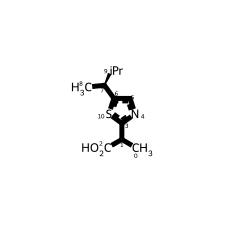 CC(C(=O)O)c1ncc([C@@H](C)C(C)C)s1